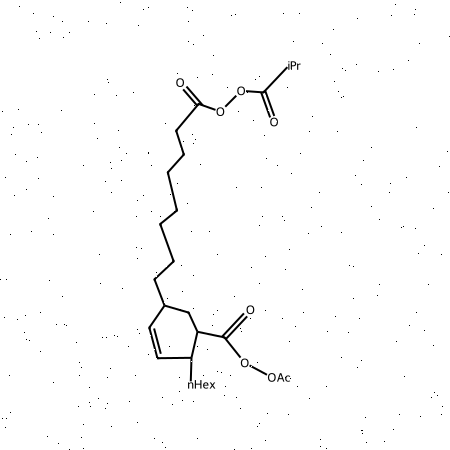 CCCCCCC1C=CC(CCCCCCCC(=O)OOC(=O)C(C)C)CC1C(=O)OOC(C)=O